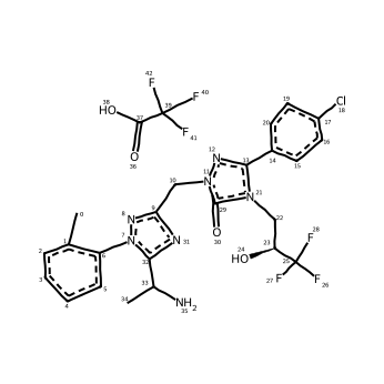 Cc1ccccc1-n1nc(Cn2nc(-c3ccc(Cl)cc3)n(C[C@H](O)C(F)(F)F)c2=O)nc1C(C)N.O=C(O)C(F)(F)F